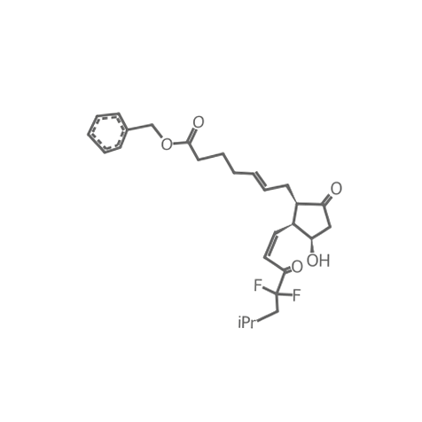 CC(C)CC(F)(F)C(=O)/C=C\[C@@H]1[C@H](O)CC(=O)[C@@H]1CC=CCCCC(=O)OCc1ccccc1